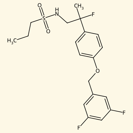 CCCS(=O)(=O)NCC(C)(F)c1ccc(OCc2cc(F)cc(F)c2)cc1